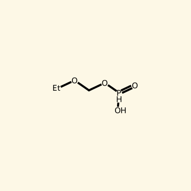 CCOCO[PH](=O)O